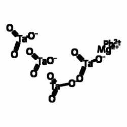 [Mg+2].[O]=[Ta](=[O])[O-].[O]=[Ta](=[O])[O-].[O]=[Ta](=[O])[O-].[O]=[Ta](=[O])[O-].[Pb+2]